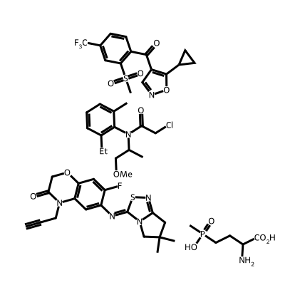 C#CCN1C(=O)COc2cc(F)c(/N=c3\snc4n3CC(C)(C)C4)cc21.CCc1cccc(C)c1N(C(=O)CCl)C(C)COC.CP(=O)(O)CCC(N)C(=O)O.CS(=O)(=O)c1cc(C(F)(F)F)ccc1C(=O)c1cnoc1C1CC1